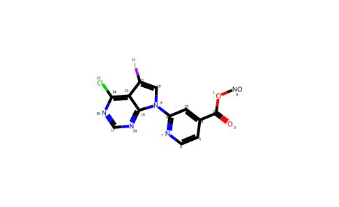 O=NOC(=O)c1ccnc(-n2cc(I)c3c(Cl)ncnc32)c1